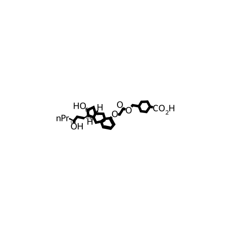 CCC[C@H](O)CC[C@@H]1[C@H]2Cc3cccc(OCC(=O)OCC4CCC(C(=O)O)CC4)c3C[C@H]2C[C@H]1O